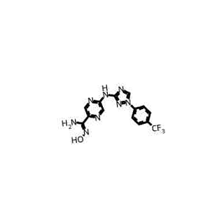 N/C(=N\O)c1cnc(Nc2ncn(-c3ccc(C(F)(F)F)cc3)n2)cn1